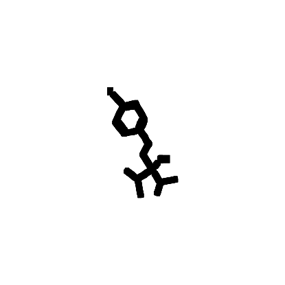 CC(C)[Si](O)(CCc1ccc(F)cc1)C(C)C